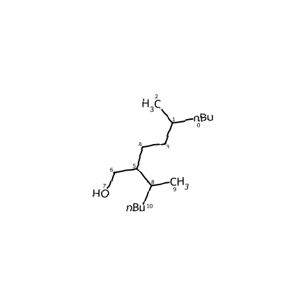 CCCCC(C)CCC(CO)C(C)CCCC